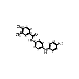 CCc1ccc(Nc2ccc(NC(=O)c3ccc(Cl)c(Cl)c3)cc2)cc1